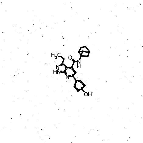 CCc1n[nH]c2nc(-c3ccc(O)cc3)cc(C(=O)NC3CC4CCC3CC4)c12